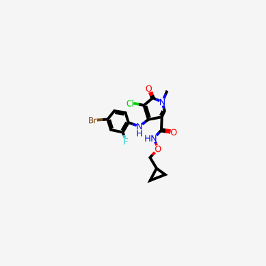 Cn1cc(C(=O)NOCC2CC2)c(Nc2ccc(Br)cc2F)c(Cl)c1=O